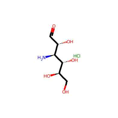 Cl.N[C@H]([C@H](O)[C@H](O)CO)[C@@H](O)C=O